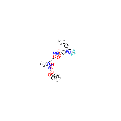 Cc1ccc(-c2cc(C(F)(F)F)nn2-c2ccc(S(=O)(=O)NC(=O)OCCCCN(C)/[N+]([O-])=N/OCOC(=O)C(C)C)cc2)cc1